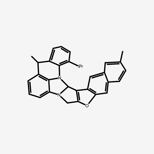 Cc1ccc2cc3oc4c(c3cc2c1)C1N(C4)c2cccc3c2N1c1c(C(C)C)cccc1C3C